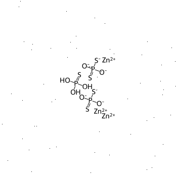 OP(O)(O)=S.[O-]P([O-])(=S)[S-].[O-]P([O-])(=S)[S-].[Zn+2].[Zn+2].[Zn+2]